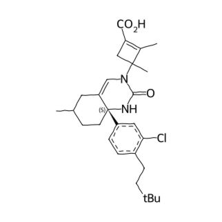 CC1=C(C(=O)O)CC1(C)N1C=C2CC(C)CC[C@@]2(c2ccc(CCC(C)(C)C)c(Cl)c2)NC1=O